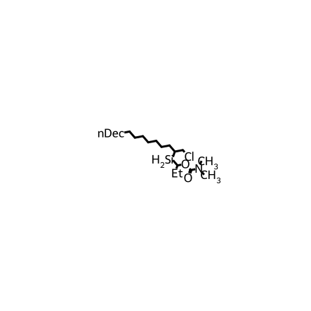 CCCCCCCCCCCCCCCCCC(CCl)[SiH2]C(CC)OC(=O)N(C)C